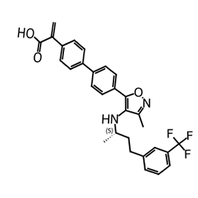 C=C(C(=O)O)c1ccc(-c2ccc(-c3onc(C)c3N[C@@H](C)CCc3cccc(C(F)(F)F)c3)cc2)cc1